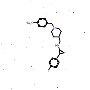 O=C(O)c1ccc(CN2CCC(CNC3CC3c3ccc(I)cc3)CC2)cc1